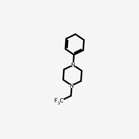 FC(F)(F)CN1CCN(C2=CCCC=C2)CC1